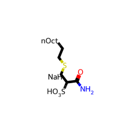 CCCCCCCCCCSCC(C(N)=O)S(=O)(=O)O.[NaH]